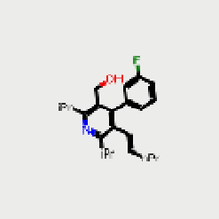 CCCC=Cc1c(C(C)C)nc(C(C)C)c(CO)c1-c1cccc(F)c1